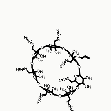 C=CCOC1C(O)C2OC(CN=[N+]=[N-])C1OC1OC(CN=[N+]=[N-])C(OC3OC(CN=[N+]=[N-])C(OC4OC(CN=[N+]=[N-])C(OC5OC(CN=[N+]=[N-])C(OC6OC(CN=[N+]=[N-])C(OC7OC(CN=[N+]=[N-])C(O2)C(O)C7O)C(O)C6O)C(O)C5O)C(O)C4O)C(O)C3O)C(O)C1O